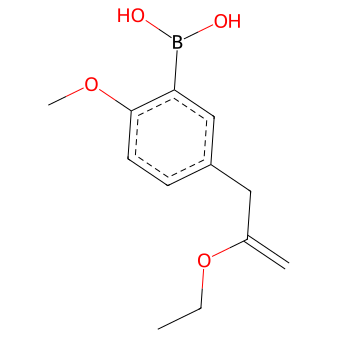 C=C(Cc1ccc(OC)c(B(O)O)c1)OCC